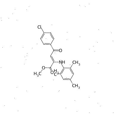 COC(=O)/C(=C/C(=O)c1ccc(Cl)cc1)Nc1c(C)cc(C)cc1C